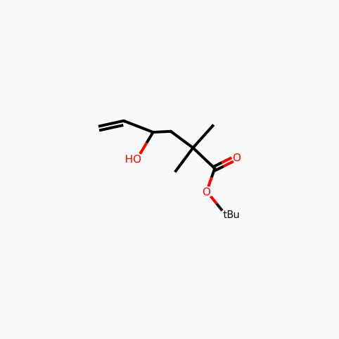 C=CC(O)CC(C)(C)C(=O)OC(C)(C)C